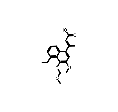 CCc1cccc2c(C(C)=CC(=O)O)cc(OC)c(OCOC)c12